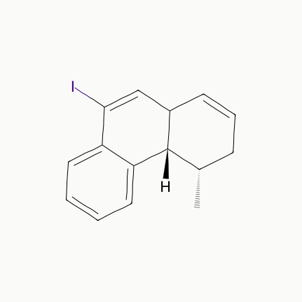 C[C@H]1CC=CC2C=C(I)c3ccccc3[C@H]21